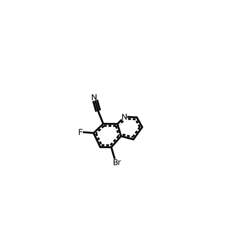 N#Cc1c(F)cc(Br)c2cccnc12